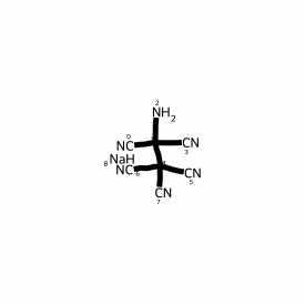 N#CC(N)(C#N)C(C#N)(C#N)C#N.[NaH]